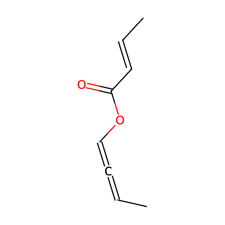 CC=C=COC(=O)C=CC